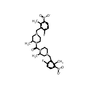 Cc1c([N+](=O)[O-])ccc(F)c1CN1CCN(C(=O)N2CCN(Cc3c(F)ccc([N+](=O)[O-])c3C)CC2C)C(C)C1